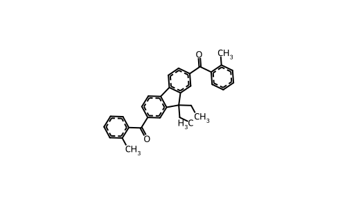 CCC1(CC)c2cc(C(=O)c3ccccc3C)ccc2-c2ccc(C(=O)c3ccccc3C)cc21